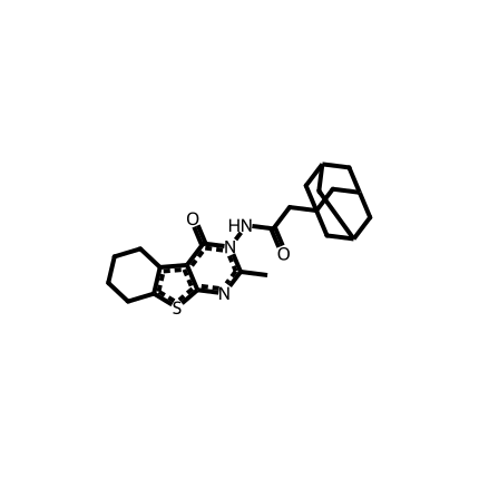 Cc1nc2sc3c(c2c(=O)n1NC(=O)CC12CC4CC(CC(C4)C1)C2)CCCC3